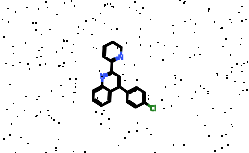 Clc1ccc(-c2cc(C3=NCCC=C3)nc3ccccc23)cc1